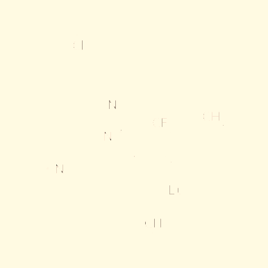 C=CC(CC)(c1c(C)cnc2cc(Cl)nn12)C(F)(F)F